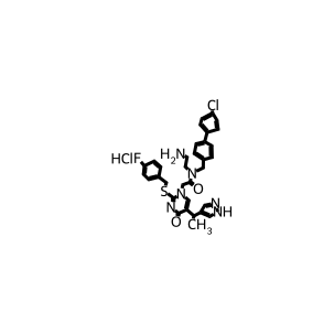 CC(c1cn[nH]c1)c1cn(CC(=O)N(CCN)Cc2ccc(-c3ccc(Cl)cc3)cc2)c(SCc2ccc(F)cc2)nc1=O.Cl